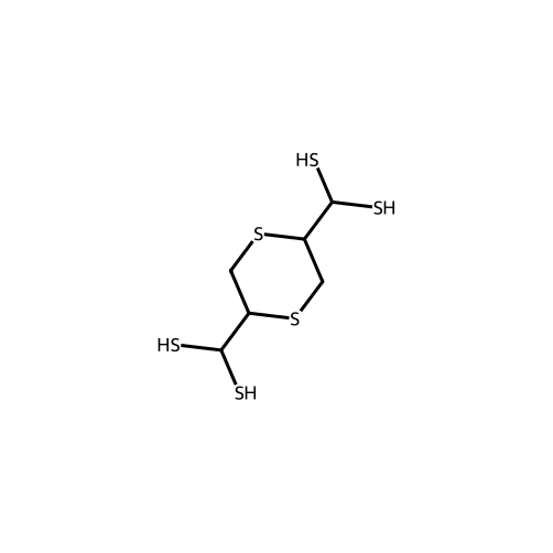 SC(S)C1CSC(C(S)S)CS1